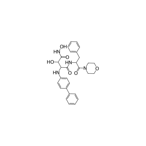 O=C(NO)C(O)C(Nc1ccc(-c2ccccc2)cc1)C(=O)NC(Cc1ccccc1)C(=O)N1CCOCC1